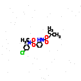 CC(C)COC(=O)Nc1cccc(OC(=O)N(C)c2ccc(Cl)cc2)c1